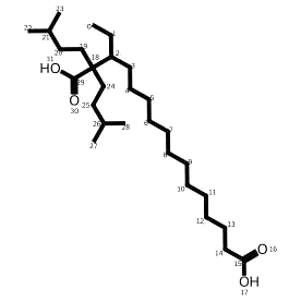 CCC(CCCCCCCCCCCCC(=O)O)C(CCC(C)C)(CCC(C)C)C(=O)O